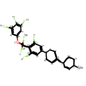 CCCC1C=CC(C2CCC(c3cc(F)c(C(F)(F)Oc4cc(F)c(F)c(F)c4)c(F)c3)CC2)CC1